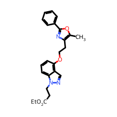 CCOC(=O)CCn1ncc2c(OCCc3nc(-c4ccccc4)oc3C)cccc21